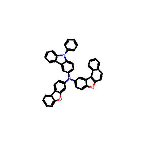 c1ccc(-n2c3ccccc3c3cc(N(c4ccc5c(c4)oc4ccccc45)c4ccc5oc6ccc7ccccc7c6c5c4)ccc32)cc1